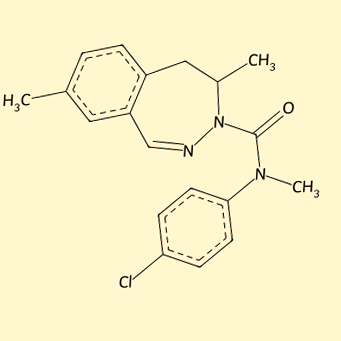 Cc1ccc2c(c1)C=NN(C(=O)N(C)c1ccc(Cl)cc1)C(C)C2